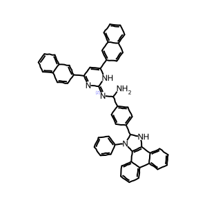 NC(/N=c1/nc(-c2ccc3ccccc3c2)cc(-c2ccc3ccccc3c2)[nH]1)c1ccc(C2Nc3c(c4ccccc4c4ccccc34)N2c2ccccc2)cc1